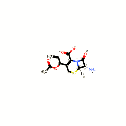 C=CC(OC(C)=O)C1=C(C(=O)O)N2C(=O)[C@H](N)[C@H]2SC1